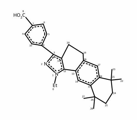 CCn1nc(-c2ccc(C(=O)O)cc2)c2c1-c1cc3c(cc1CC2)C(C)(C)CCC3(C)C